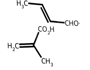 C=C(C)C(=O)O.CC=C[C]=O